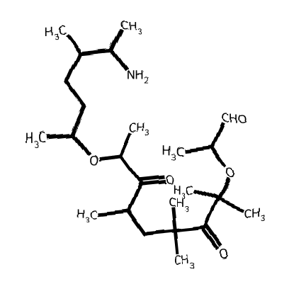 CC(C=O)OC(C)(C)C(=O)C(C)(C)CC(C)C(=O)C(C)OC(C)CCC(C)C(C)N